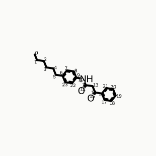 CCCCCCc1ccc(NC(=O)CC(=O)c2ccccc2)cc1